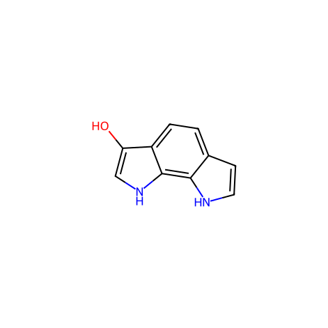 Oc1c[nH]c2c1ccc1cc[nH]c12